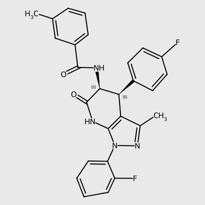 Cc1cccc(C(=O)N[C@@H]2C(=O)Nc3c(c(C)nn3-c3ccccc3F)[C@@H]2c2ccc(F)cc2)c1